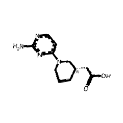 Nc1nccc(N2CCC[C@@H](CC(=O)O)C2)n1